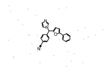 N#Cc1ccc(C(c2ccc(-c3ccccc3)o2)n2ccnc2)cc1